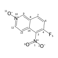 O=[N+]([O-])c1c(F)ccc2c[n+]([O-])ccc12